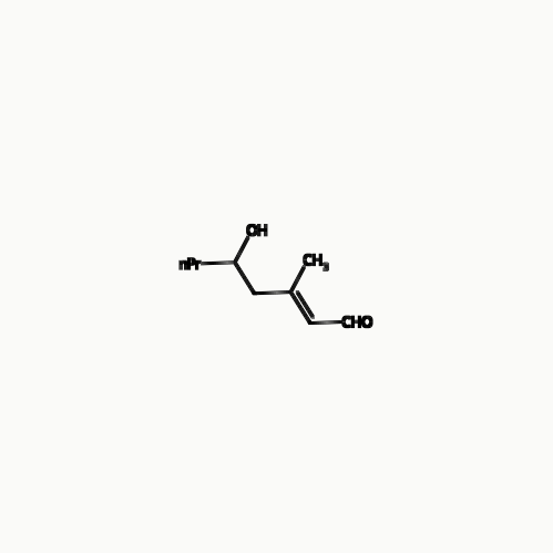 CCCC(O)C/C(C)=C/C=O